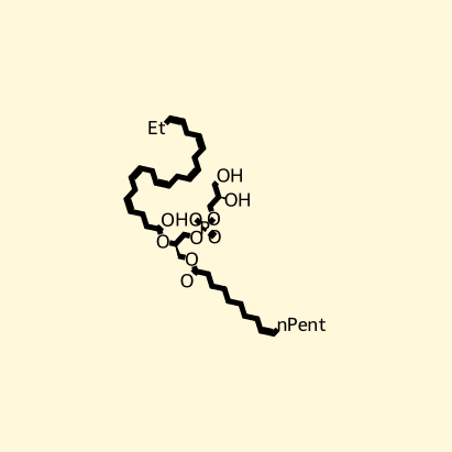 CC/C=C\C/C=C\C/C=C\C/C=C\C/C=C\C/C=C\CCC(=O)O[C@H](COC(=O)CCCCCCC/C=C\CCCCC)COP(=O)(O)OC[C@@H](O)CO